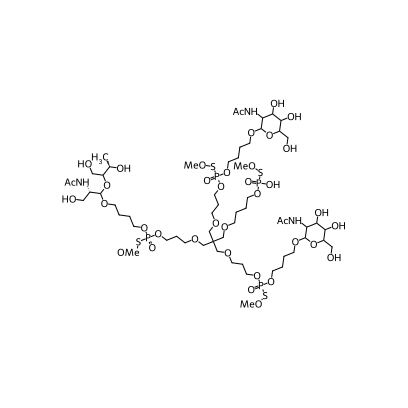 COSP(=O)(O)OCCCCOCC(COCCCOP(=O)(OCCCCOC1OC(CO)C(O)C(O)C1NC(C)=O)SOC)(COCCCOP(=O)(OCCCCOC1OC(CO)C(O)C(O)C1NC(C)=O)SOC)COCCCOP(=O)(OCCCCOC(OC(CO)[C@@H](C)O)[C@H](CO)NC(C)=O)SOC